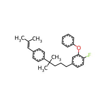 CC(C)=Cc1ccc(C(C)(C)CCCc2ccc(F)c(Oc3ccccc3)c2)cc1